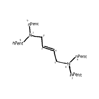 CCCCCN(CC=CCN(CCCCC)CCCCC)CCCCC